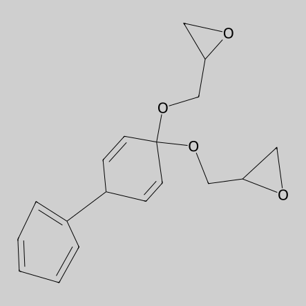 C1=CC(OCC2CO2)(OCC2CO2)C=CC1c1ccccc1